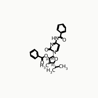 CC(C)[C@H]1O[C@@H](n2ccc(NC(=O)c3ccccc3)nc2=O)[C@H](OC(=O)c2ccccc2)[C@@H]1C